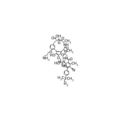 Cc1c(C#N)c(-c2ccc(C(C)(C)C)cc2)nc(N)c1C(=O)NCC(=O)N(C)[C@@H]1C(=O)N[C@@H](C)C(=O)N[C@H](C(=O)O)Cc2ccc(OCCCN)c(c2)-c2cc1cc(OC[C@H](O)CN)c2O